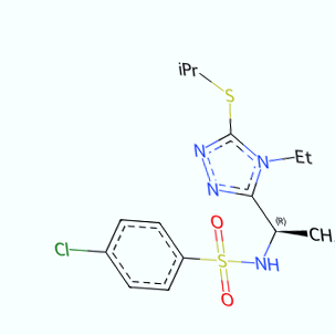 CCn1c(SC(C)C)nnc1[C@@H](C)NS(=O)(=O)c1ccc(Cl)cc1